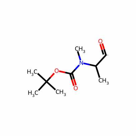 CC([C]=O)N(C)C(=O)OC(C)(C)C